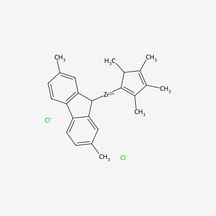 CC1=C(C)C(C)[C]([Zr+2][CH]2c3cc(C)ccc3-c3ccc(C)cc32)=C1C.[Cl-].[Cl-]